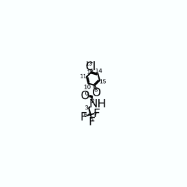 O=C(NCC(F)(F)F)Oc1ccc(Cl)cc1